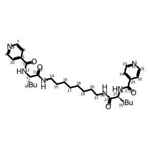 CCC(C)[C@H](NC(=O)c1ccncc1)C(=O)NCCCCCCCCNC(=O)[C@@H](NC(=O)c1ccncc1)C(C)CC